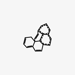 C1=CCC23C=Cc4cccc5ccc(c2c45)C=CC3=C1